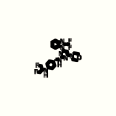 FCC(CF)N[C@H]1CC[C@H](CNc2nc(N3CCOCC3)cc(-n3c(C(F)F)nc4ccccc43)n2)CC1